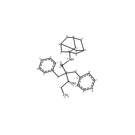 CCC(O)C(Cc1ccncc1)(Cc1ccncc1)C(=O)NC12CC3CC(CC(C3)C1)C2